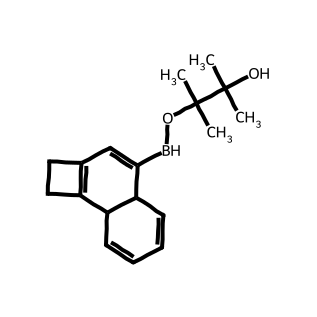 CC(C)(O)C(C)(C)OBC1=CC2=C(CC2)C2C=CC=CC12